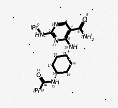 CC(C)Nc1ncc(C(N)=O)c(N[C@H]2CC[C@@H](NC(=O)C(C)C)CC2)n1